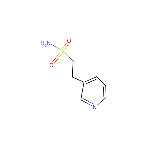 NS(=O)(=O)CCc1cccnc1